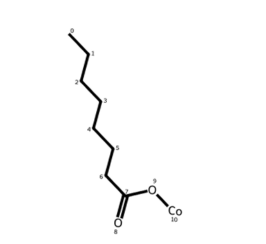 CCCCCCCC(=O)[O][Co]